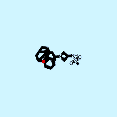 CC1C2CC3CC1CC(C2)C3(CC(=O)N1CC(NS(C)(=O)=O)C1)c1ccccc1